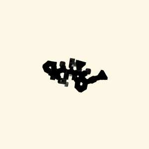 Cc1nn2cccnc2c1C(=O)N[C@@H](C)c1nc2cccc(C#CC3CC3)c2c(=O)n1C1CC1